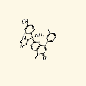 [C-]#[N+]c1ccc([C@@](N)(c2ccc3c(c2)c(-c2cccc(C)c2)cc(=O)n3C)c2cncn2C)cc1